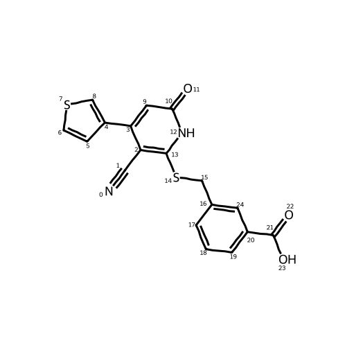 N#Cc1c(-c2ccsc2)cc(=O)[nH]c1SCc1cccc(C(=O)O)c1